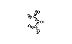 CC(C)(C)OC(=O)COc1cc(COc2cc(CO)cc(OCc3cc(OCC(=O)OC(C)(C)C)cc(OCC(=O)OC(C)(C)C)c3)c2)cc(OCC(=O)OC(C)(C)C)c1